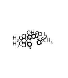 COc1ccccc1Sc1cc2c3c(cc(O)c2cc1OC)C1(CC(C)(C)CC(C)(C)C1)c1ccccc1-3